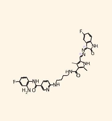 Cc1[nH]c(/C=N/N=C2\C(=O)Nc3ccc(F)cc32)c(C)c1C(=O)NCCCCNc1ccc(C(=O)Nc2ccc(F)cc2N)cn1